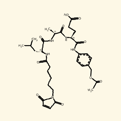 CC(=O)OCc1ccc(NC(=O)[C@H](CCC(=O)O)NC(=O)[C@H](C)NC(=O)[C@@H](CC(C)C)NC(=O)CCCCCN2C(=O)C=CC2=O)cc1